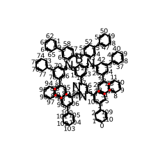 c1ccc(-c2cc(-c3ccccc3)cc(-c3cc(-c4cc5c6c(c4)N(c4cc(-c7ccccc7)cc(-c7ccccc7)c4)c4cc(-c7ccccc7)ccc4B6c4ccc(-c6ccccc6)cc4N5c4cc(-c5ccccc5)cc(-c5ccccc5)c4)nc(-c4cc(-c5ccccc5)cc(-c5ccccc5)c4)n3)c2)cc1